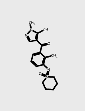 Cc1c(N=S2(=O)CCCCC2)cccc1C(=O)c1cnn(C)c1O